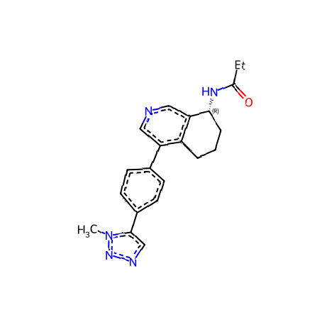 CCC(=O)N[C@@H]1CCCc2c(-c3ccc(-c4cnnn4C)cc3)cncc21